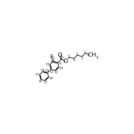 CCCCCCOC(=O)c1ccc(-c2ccccc2)cc1F